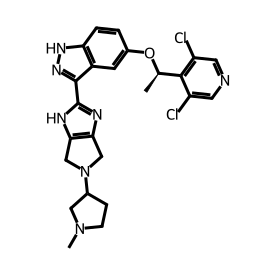 C[C@@H](Oc1ccc2[nH]nc(-c3nc4c([nH]3)CN(C3CCN(C)C3)C4)c2c1)c1c(Cl)cncc1Cl